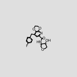 O=C(N[C@@H]1COCC[C@@H]1O)c1cc(Cc2ccc(F)cc2)c2c(n1)OCCO2